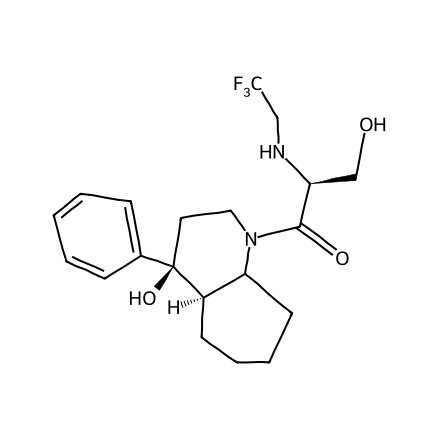 O=C([C@H](CO)NCC(F)(F)F)N1CC[C@@](O)(c2ccccc2)[C@@H]2CCCCC21